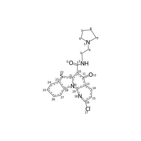 O=C(NCCN1CCCC1)c1c(=O)c2ccc(Cl)nc2n2c1sc1ccccc12